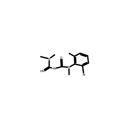 Cc1cccc(Br)c1N(C)C(=O)NC(=N)N(C)C